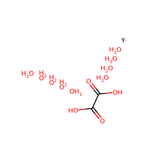 O.O.O.O.O.O.O.O.O.O=C(O)C(=O)O.[Y]